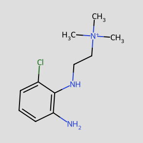 C[N+](C)(C)CCNc1c(N)cccc1Cl